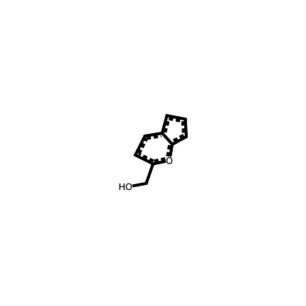 OCc1ccc2cccc-2o1